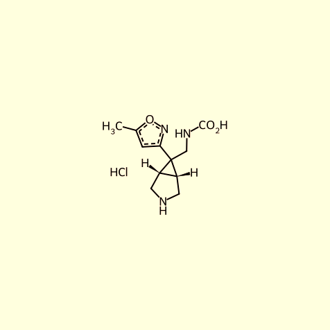 Cc1cc(C2(CNC(=O)O)[C@@H]3CNC[C@@H]32)no1.Cl